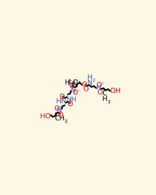 C/C(=C\C(=O)N([O-])CCC[C@@H]1NC(=O)[C@H](CCCN([O-])C(=O)/C=C(\C)CCOC(=O)[C@@H](N)CCCN([O-])C(=O)/C=C(\C)CCO)NC1=O)CCO.[Fe+3]